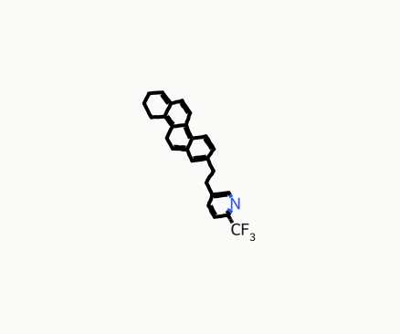 FC(F)(F)c1ccc(CCc2ccc3c(c2)=CCc2c4c(ccc2=3)=CCCC4)cn1